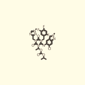 CC(C)OC(=O)OC(C)n1c(=O)n(Cc2ncn(C)n2)c(=O)n(Cc2cc(F)c(F)cc2F)c1=Nc1cc2cn(C)nc2cc1Cl